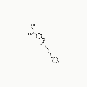 CCCC(=N)c1ccc(OC(=O)CCCCCCN2CCOCC2)cc1